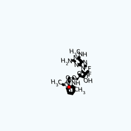 CCOC(=O)[C@@H](C)N[P@](=O)(OC[C@H]1O[C@@H](n2cnc3c(NC)nc(N)nc32)[C@@](F)(C(F)(F)F)[C@@H]1O)Oc1ccccc1